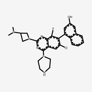 CN(C)C1CN(c2nc(P3CCNCC3)c3cc(Cl)c(-c4cc(O)cc5ccccc45)c(F)c3n2)C1